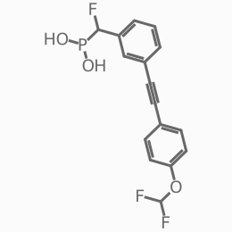 OP(O)C(F)c1cccc(C#Cc2ccc(OC(F)F)cc2)c1